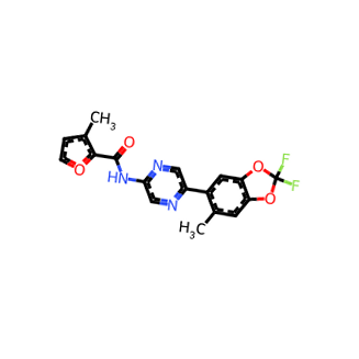 Cc1cc2c(cc1-c1cnc(NC(=O)c3occc3C)cn1)OC(F)(F)O2